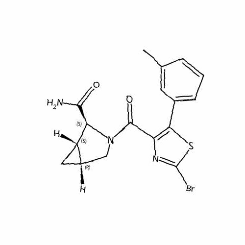 Cc1cccc(-c2sc(Br)nc2C(=O)N2C[C@@H]3C[C@@H]3[C@H]2C(N)=O)c1